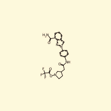 NC(=O)c1cccc2cn(-c3ccc(NC(=O)CC4CCN(OC(=O)C(F)(F)F)C4)cc3)nc12